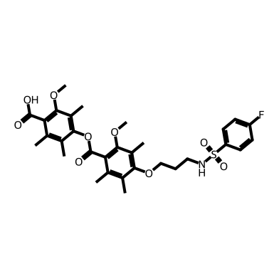 COc1c(C)c(OC(=O)c2c(C)c(C)c(OCCCNS(=O)(=O)c3ccc(F)cc3)c(C)c2OC)c(C)c(C)c1C(=O)O